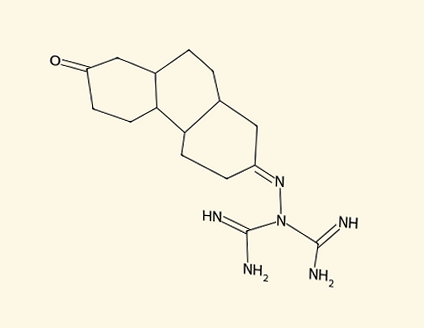 N=C(N)N(N=C1CCC2C(CCC3CC(=O)CCC32)C1)C(=N)N